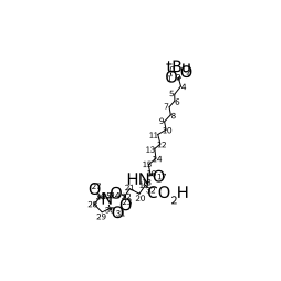 CC(C)(C)OC(=O)CCCCCCCCCCCCC(=O)NC(CCC(=O)ON1C(=O)CCC1=O)C(=O)O